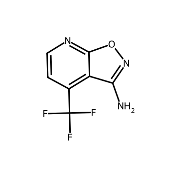 Nc1noc2nccc(C(F)(F)F)c12